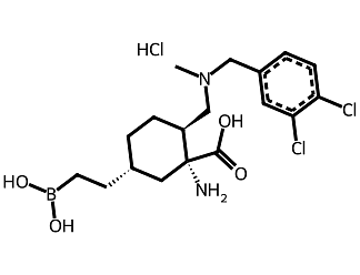 CN(Cc1ccc(Cl)c(Cl)c1)C[C@@H]1CC[C@@H](CCB(O)O)C[C@]1(N)C(=O)O.Cl